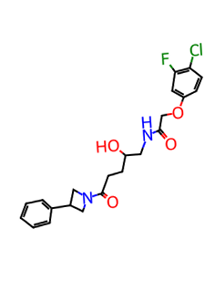 O=C(COc1ccc(Cl)c(F)c1)NCC(O)CCC(=O)N1CC(c2ccccc2)C1